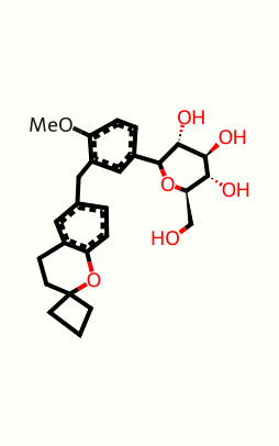 COc1ccc(C2O[C@H](CO)[C@@H](O)[C@H](O)[C@H]2O)cc1Cc1ccc2c(c1)CCC1(CCC1)O2